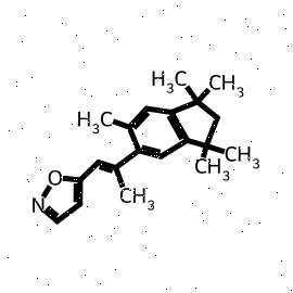 CC(=Cc1ccno1)c1cc2c(cc1C)C(C)(C)CC2(C)C